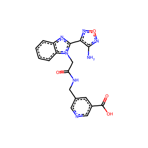 Nc1nonc1-c1nc2ccccc2n1CC(=O)NCc1cncc(C(=O)O)c1